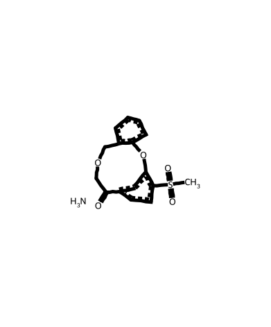 CS(=O)(=O)c1ccc2cc1Oc1ccccc1COCC2=O.N